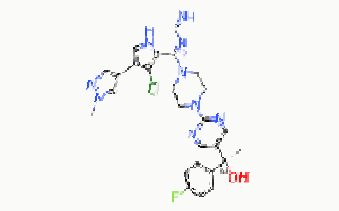 Cn1cc(-c2c[nH]c(/C(=N\C=N)N3CCN(c4ncc([C@@](C)(O)c5ccc(F)cc5)cn4)CC3)c2Cl)cn1